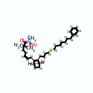 CN(O)C(=O)C(C)(C)CC/C=C\C[C@H]1[C@@H](CCCCSCCC=CCCCc2ccccc2)[C@H]2CC[C@@H]1O2